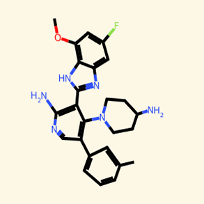 COc1cc(F)cc2nc(-c3c(N)ncc(-c4cccc(C)c4)c3N3CCC(N)CC3)[nH]c12